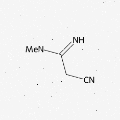 CNC(=N)CC#N